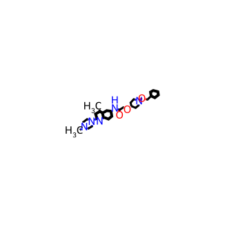 Cc1cc(N2CCN(C)CC2)nc2ccc(NC(=O)COC3CCN(OCc4ccccc4)CC3)cc12